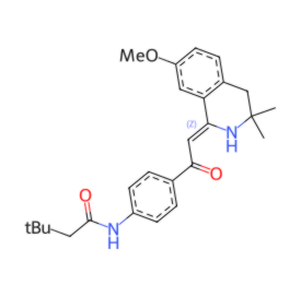 COc1ccc2c(c1)/C(=C/C(=O)c1ccc(NC(=O)CC(C)(C)C)cc1)NC(C)(C)C2